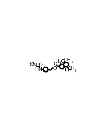 CC(C)(C)CC(=O)Nc1ccc(CCOC(=O)c2ccc3c(c2)C(C)(C)CCC3(C)C)cc1